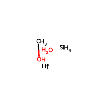 CO.O.[Hf].[SiH4]